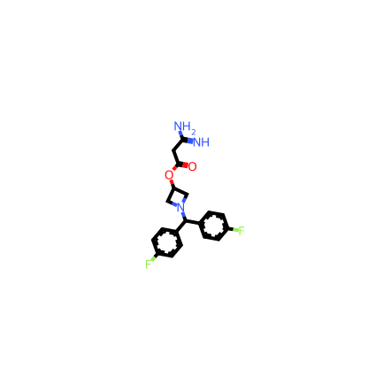 N=C(N)CC(=O)OC1CN(C(c2ccc(F)cc2)c2ccc(F)cc2)C1